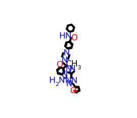 CC(C(=O)N1CCN(c2ccc(C(=O)NC3CCCCC3)cc2)CC1)(c1ccccc1)n1ncc2c1nc(N)n1nc(-c3ccco3)nc21